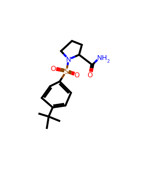 CC(C)(C)c1ccc(S(=O)(=O)N2CCCC2C(N)=O)cc1